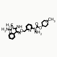 CN1CCC(OC(=O)N(N)c2cccc(CO/N=C(\C(=N)N(C)NN)c3ccccc3)n2)CC1